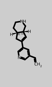 C=Cc1cncc(C2=C[C@H]3CNCC[C@H]3C2)c1